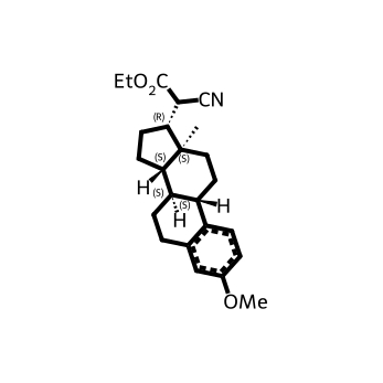 CCOC(=O)C(C#N)[C@H]1CC[C@H]2[C@@H]3CCc4cc(OC)ccc4[C@H]3CC[C@]12C